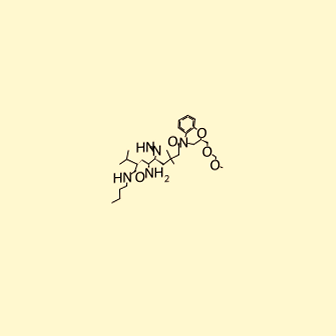 CCCCNC(=O)[C@@H](C[C@H](N)[C@H](CC(C)(C)CC(=O)N1C[C@H](COCOC)Oc2ccccc21)N=N)C(C)C